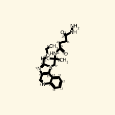 CCOCc1nc2cnc3ccccc3c2n1CC(C)(C)NC(=O)CCC(=O)NN